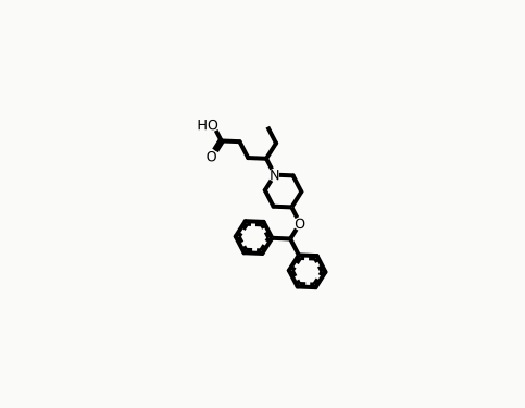 CCC(CCC(=O)O)N1CCC(OC(c2ccccc2)c2ccccc2)CC1